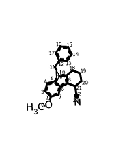 COc1ccc2c(c1)c1c(n2Cc2ccccc2)CCCC1C#N